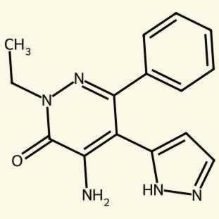 CCn1nc(-c2ccccc2)c(-c2ccn[nH]2)c(N)c1=O